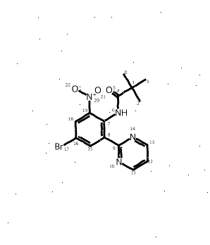 CC(C)(C)C(=O)Nc1c(-c2ncccn2)cc(Br)cc1[N+](=O)[O-]